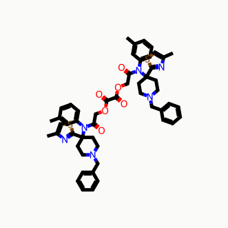 Cc1cccc(N(C(=O)COC(=O)C(=O)OCC(=O)N(c2cccc(C)c2)C2(c3nc(C)cs3)CCN(Cc3ccccc3)CC2)C2(c3nc(C)cs3)CCN(Cc3ccccc3)CC2)c1